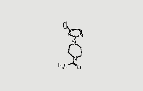 CC(=O)N1CCN(c2nccc(Cl)n2)CC1